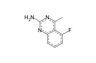 Cc1nc(N)nc2cccc(F)c12